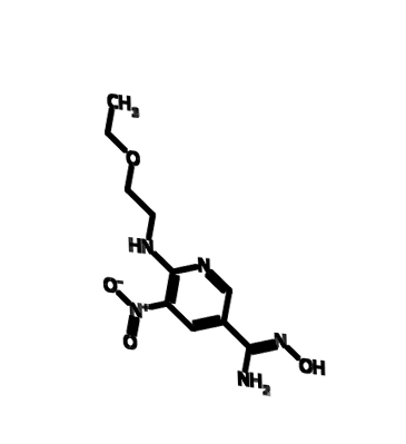 CCOCCNc1ncc(C(N)=NO)cc1[N+](=O)[O-]